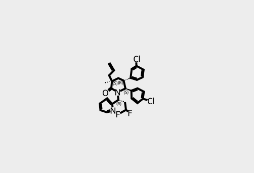 C=CC[C@@]1(C)C[C@H](c2cccc(Cl)c2)[C@@H](c2ccc(Cl)cc2)N([C@H](CC(F)F)c2ccccn2)C1=O